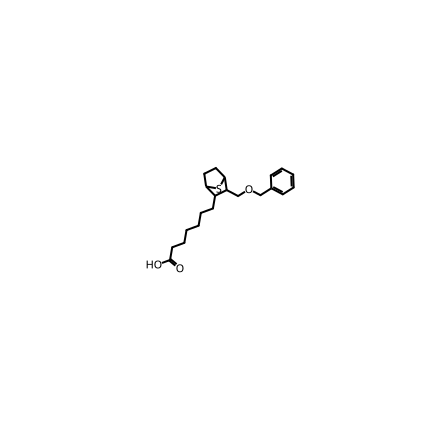 O=C(O)CCCCCCC1C2CCC(S2)C1COCc1ccccc1